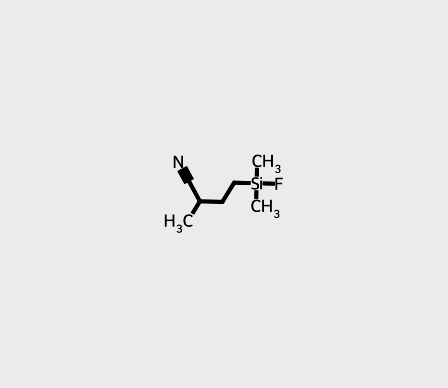 CC(C#N)CC[Si](C)(C)F